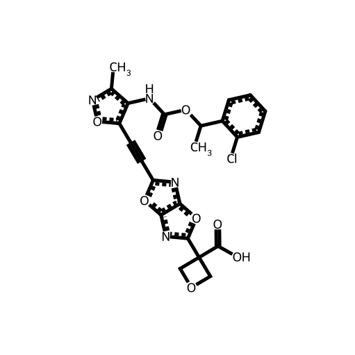 Cc1noc(C#Cc2nc3oc(C4(C(=O)O)COC4)nc3o2)c1NC(=O)OC(C)c1ccccc1Cl